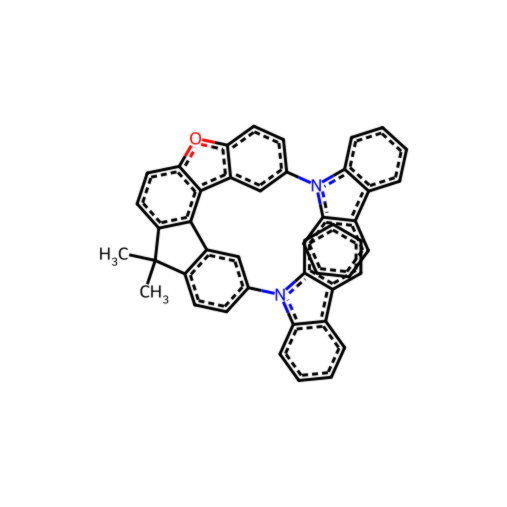 CC1(C)c2ccc(-n3c4ccccc4c4ccccc43)cc2-c2c1ccc1oc3ccc(-n4c5ccccc5c5ccccc54)cc3c21